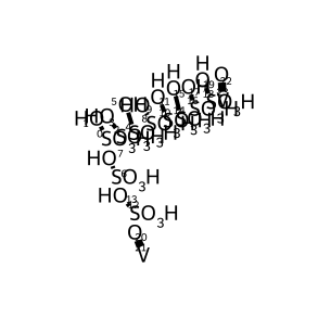 O=S(=O)(O)O.O=S(=O)(O)O.O=S(=O)(O)O.O=S(=O)(O)O.O=S(=O)(O)O.O=S(=O)(O)O.O=S(=O)(O)O.O=S(=O)(O)O.O=S(=O)(O)O.O=S(=O)(O)O.[O]=[V].[O]=[V]